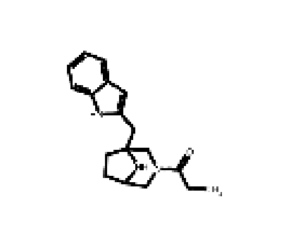 CCC(=O)N1CC2CCC(Cc3cc4ccccc4[nH]3)(C1)N2